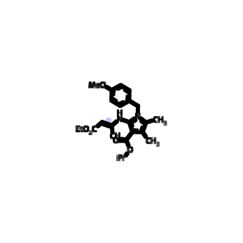 CCOC(=O)/C=C(\C)Nc1c(C(=O)OC(C)C)c(C)c(C)n1Cc1ccc(OC)cc1